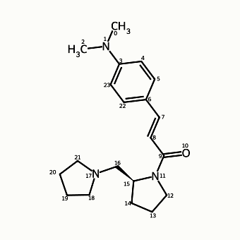 CN(C)c1ccc(/C=C/C(=O)N2CCC[C@H]2CN2CCCC2)cc1